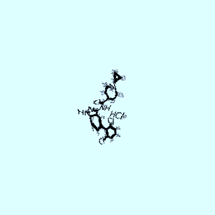 Cl.O=C(Nc1n[nH]c2ccc(-c3c(Cl)cccc3Cl)cc12)C1CCN(C2CC2)CC1